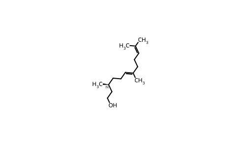 CC(C)=CCCC(C)=CCC[C@H](C)CCO